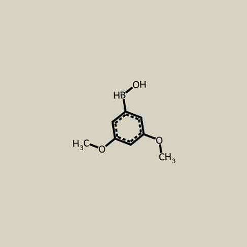 COc1cc(BO)cc(OC)c1